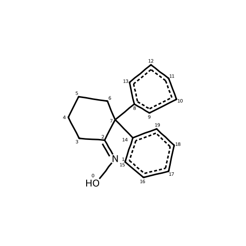 ON=C1CCCCC1(c1ccccc1)c1ccccc1